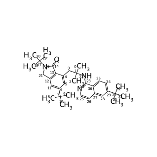 CC(C)(Cc1cc(C(C)(C)C)cc2c1C(=O)N(C(C)(C)C)C2)Nc1nccc2cc(C(C)(C)C)ccc12